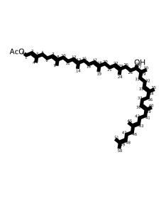 CC(=O)OC/C=C(\C)CC/C=C(\C)CC/C=C(\C)CC/C=C(\C)CC/C=C(\C)CCC(O)C(C)CC/C=C(\C)CC/C=C(\C)CC/C=C(\C)CCC=C(C)C